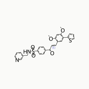 COc1cc(OC)c(-c2cccs2)cc1/C=C/C(=O)c1ccc(S(=O)(=O)NCc2cccnc2)cc1